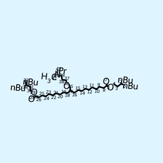 CCCCC(CCCC)CCOC(=O)CCCCCCCCCC(CCCCCCCCCC(=O)OCCC(CCCC)CCCC)COCCCN(C)C(C)C